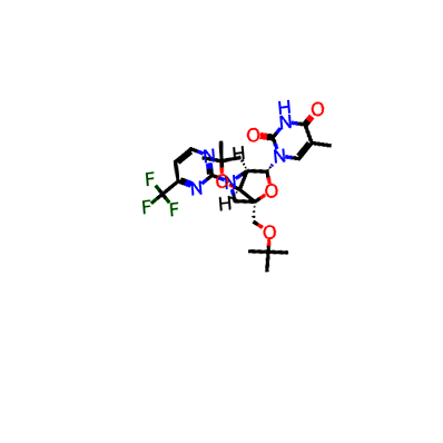 Cc1cn([C@@H]2O[C@@]3(COC(C)(C)C)CN(c4nccc(C(F)(F)F)n4)[C@@H]2[C@@H]3OC(C)(C)C)c(=O)[nH]c1=O